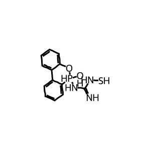 N=C(NS)N[PH]1(O)Oc2ccccc2-c2ccccc21